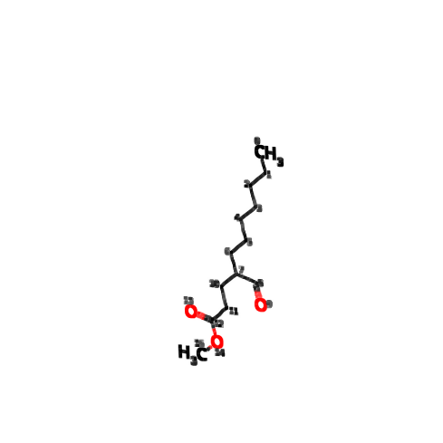 CCCCCCCC(C=O)CCC(=O)OC